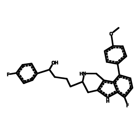 COc1ccc(-c2ccc(F)c3[nH]c4c(c23)CNC(CCCC(O)c2ccc(F)cc2)C4)cc1